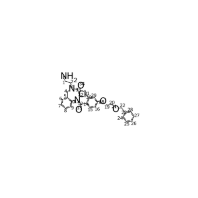 NCCN1Cc2ccccc2N(C(=O)c2ccc(OCCOCc3ccccc3)cc2Cl)CC1=O